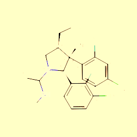 CC(C)(C)C[C@@H]1CN(C(NC=O)C(=O)O)[C@H](c2cccc(Cl)c2F)[C@@]1(C#N)c1ccc(Cl)cc1F